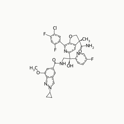 COc1cc(C(=O)NC[C@@](O)(c2ccc(F)cn2)c2cc3c(c(-c4cc(Cl)c(F)cc4F)n2)OC[C@]3(C)C(N)=O)cc2cn(C3CC3)nc12